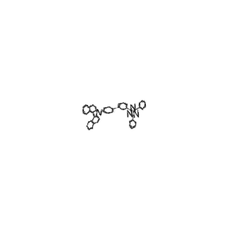 c1ccc(-c2nc(-c3ccccc3)nc(-c3cccc(-c4ccc(-n5c6ccc7ccccc7c6c6c7ccccc7ccc65)cc4)c3)n2)cc1